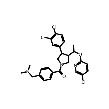 CC(Oc1ccc(Cl)cn1)C1CN(C(=O)c2ccc(CN(C)C)cc2)CC1c1ccc(Cl)c(Cl)c1